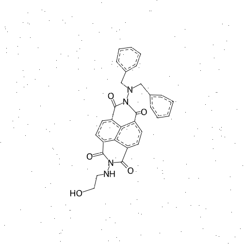 O=C1c2ccc3c4c(ccc(c24)C(=O)N1NCCO)C(=O)N(N(Cc1ccccc1)Cc1ccccc1)C3=O